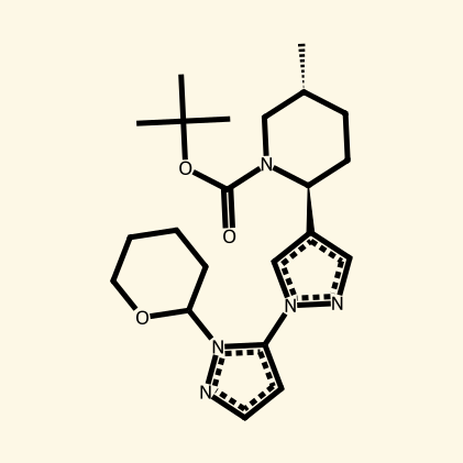 C[C@@H]1CC[C@@H](c2cnn(-c3ccnn3C3CCCCO3)c2)N(C(=O)OC(C)(C)C)C1